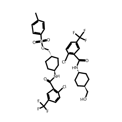 Cc1ccc(S(=O)(=O)OC[C@H]2CC[C@H](NC(=O)c3cc(C(F)(F)F)ccc3Cl)CC2)cc1.O=C(N[C@H]1CC[C@H](CO)CC1)c1cc(C(F)(F)F)ccc1Cl